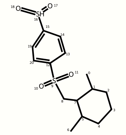 CC1CCCC(C)C1CS(=O)(=O)c1ccc([SH](=O)=O)cc1